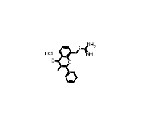 Cc1c(-c2ccccc2)oc2c(CSC(=N)N)cccc2c1=O.Cl